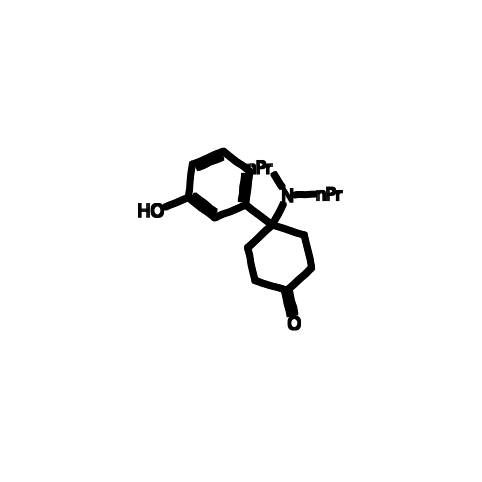 CCCN(CCC)C1(c2cccc(O)c2)CCC(=O)CC1